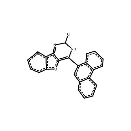 ClC1N=c2c(oc3ccccc23)=C(c2cc3ccccc3c3ccccc23)N1